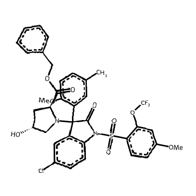 COc1ccc(S(=O)(=O)N2C(=O)C(c3cc(C)ccc3OC)(N3C[C@H](O)C[C@H]3C(=O)OCc3ccccc3)c3cc(Cl)ccc32)c(OC(F)(F)F)c1